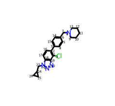 Clc1c(-c2ccc(CN3CCCCC3)cc2)ccc2c1nnn2CC1CC1